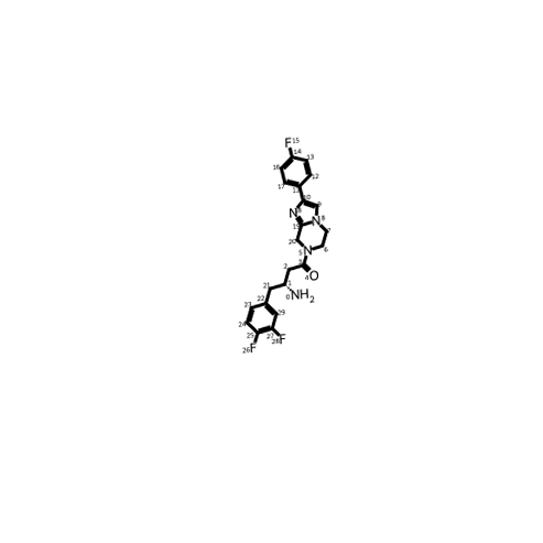 N[C@@H](CC(=O)N1CCn2cc(-c3ccc(F)cc3)nc2C1)Cc1ccc(F)c(F)c1